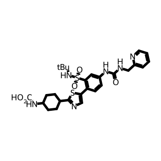 CC(C)(C)NS(=O)(=O)c1cc(NC(=O)NCc2ccccn2)ccc1-c1cnc(C2CCC(NC(=O)O)CC2)s1